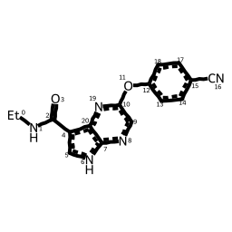 CCNC(=O)c1c[nH]c2ncc(Oc3ccc(C#N)cc3)nc12